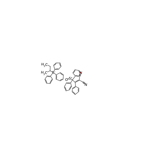 CCC(C)[B-](c1ccccc1)(c1ccccc1)c1ccccc1.N#CC(C#N)=C(c1ccccc1)C([S+]=O)(c1ccccc1)c1ccccc1